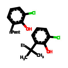 CCC(C)(C)c1cccc(Cl)c1O.CCCCCc1cccc(Cl)c1O